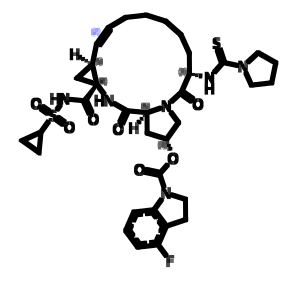 O=C1N[C@]2(C(=O)NS(=O)(=O)C3CC3)C[C@H]2/C=C\CCCCC[C@H](NC(=S)N2CCCC2)C(=O)N2C[C@H](OC(=O)N3CCc4c(F)cccc43)C[C@@H]12